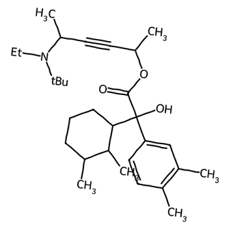 CCN(C(C)C#CC(C)OC(=O)C(O)(c1ccc(C)c(C)c1)C1CCCC(C)C1C)C(C)(C)C